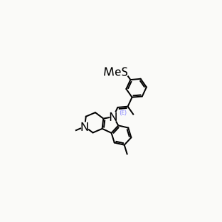 CSc1cccc(/C(C)=C/n2c3c(c4cc(C)ccc42)CN(C)CC3)c1